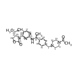 CC(=O)N1CCN(Cc2ccc([C@H](C)Nc3nccc(N4C(=O)OC[C@@H]4C(C)C)n3)cc2)CC1